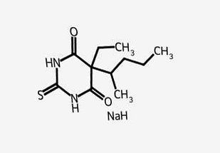 CCCC(C)C1(CC)C(=O)NC(=S)NC1=O.[NaH]